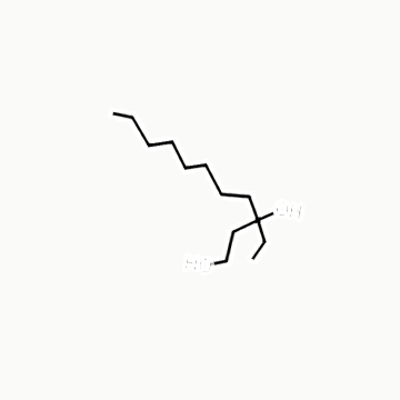 CCCCCCCCC(O)(CC)CCO